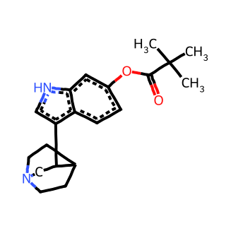 CC(C)(C)C(=O)Oc1ccc2c(C3CN4CCC3CC4)c[nH]c2c1